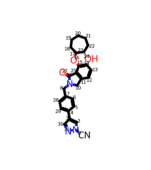 N#Cn1cc(-c2ccc(CN3Cc4cccc(OC5CCCCC[C@@H]5O)c4C3=O)cc2)cn1